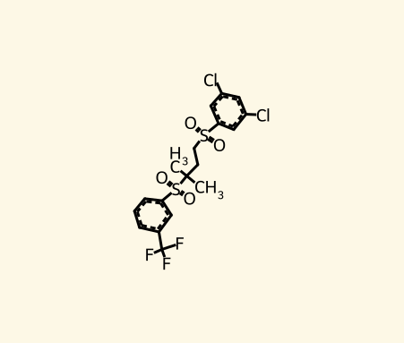 CC(C)(CCS(=O)(=O)c1cc(Cl)cc(Cl)c1)S(=O)(=O)c1cccc(C(F)(F)F)c1